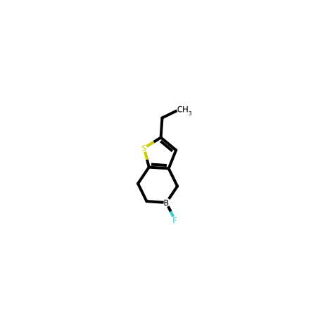 CCc1cc2c(s1)CCB(F)C2